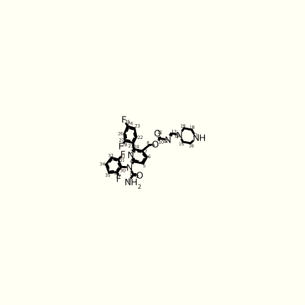 NC(=O)N(c1ccc(COC(=O)/N=C/N2CCNCC2)c(-c2ccc(F)cc2F)n1)c1c(F)cccc1F